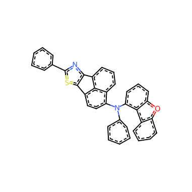 c1ccc(-c2nc3c(s2)-c2ccc(N(c4ccccc4)c4cccc5oc6ccccc6c45)c4cccc-3c24)cc1